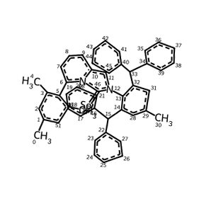 Cc1cc(C)c(-c2cccc3cn(-c4c(C(c5ccccc5)c5ccccc5)cc(C)cc4C(c4ccccc4)c4ccccc4)c(=[Se])n23)c(C)c1